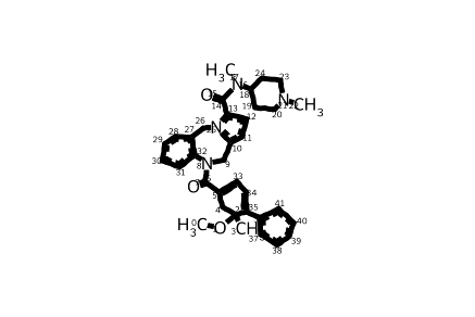 COC1(C)CC(C(=O)N2Cc3ccc(C(=O)N(C)C4CCN(C)CC4)n3Cc3ccccc32)=CC=C1c1ccccc1